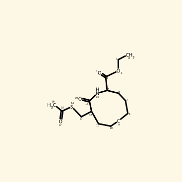 CCOC(=O)C1CCCCCCC(CSC(C)=O)C(=O)N1